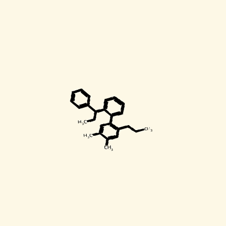 CCCc1[c]c(C)c(C)[c]c1-c1ccccc1C(CC)c1ccccc1